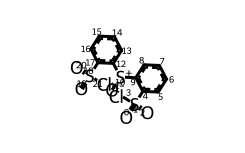 O=S(=O)(Cl)c1ccccc1[S+]([O-])c1ccccc1S(=O)(=O)Cl